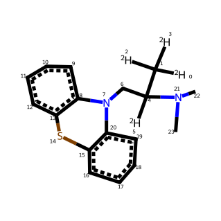 [2H]C([2H])([2H])C([2H])(CN1c2ccccc2Sc2ccccc21)N(C)C